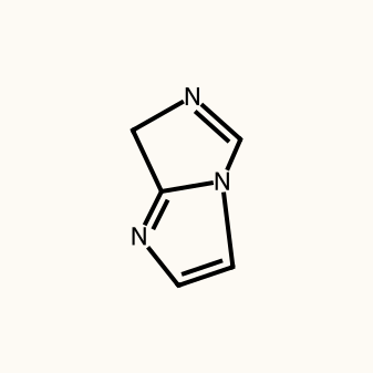 C1=NCc2nccn21